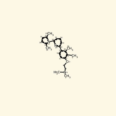 Cc1c(OCCN(C)C)ccc(-c2cccc(-n3c(C)ccc3C)n2)c1C